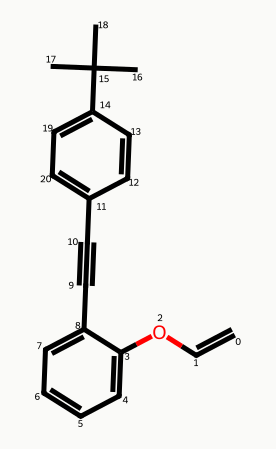 C=COc1ccccc1C#Cc1ccc(C(C)(C)C)cc1